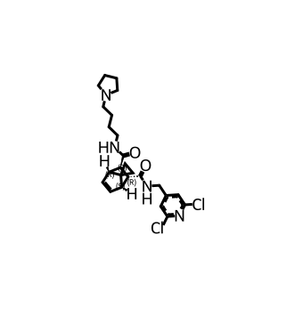 O=C(NCCCCN1CCCC1)[C@H]1[C@H](C(=O)NCc2cc(Cl)nc(Cl)c2)[C@@H]2C=C[C@H]1C21CC1